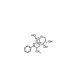 CC(C[C@@]1(O)[C@H](O)[C@@H](O)CO[C@@H]1CO)Nc1ccccc1